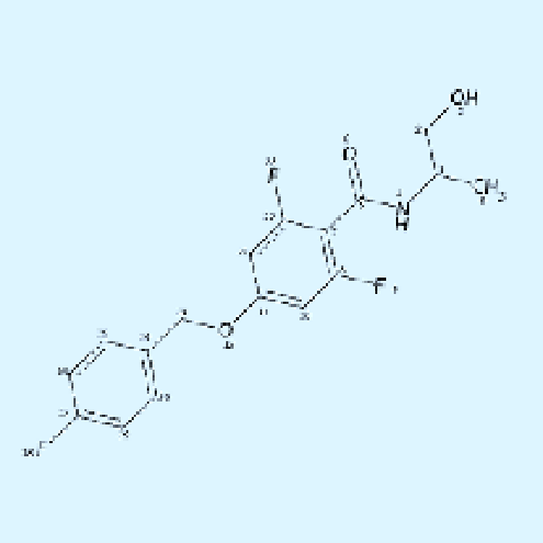 CC(CO)NC(=O)c1c(F)cc(OCc2ccc(F)cc2)cc1F